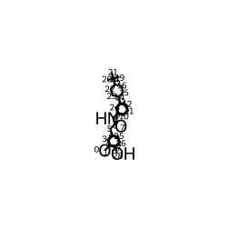 COc1cc(CC(=O)Nc2cccc(C3CCC(C(C)(C)C)CC3)c2)ccc1O